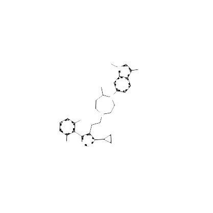 CC1CCN(CCc2c(-c3c(Cl)cccc3Cl)noc2C2CC2)CCN1c1ccc2c(C(=O)O)cn(C)c2c1